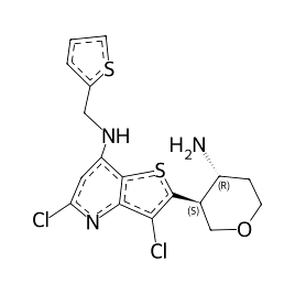 N[C@@H]1CCOC[C@H]1c1sc2c(NCc3cccs3)cc(Cl)nc2c1Cl